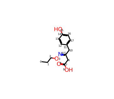 CCCON=C(CC(=O)O)Cc1ccc(O)cc1